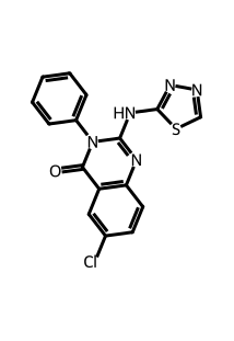 O=c1c2cc(Cl)ccc2nc(Nc2nncs2)n1-c1ccccc1